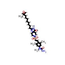 Cc1cc(N(C)C(N)=O)cc(C)c1C=CS(=O)(=O)N1CCC2(CC1)N=C(CCCCCCCCC1(C)COC1)NC2=O